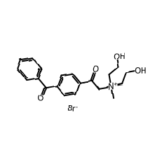 C[N+](CCO)(CCO)CC(=O)c1ccc(C(=O)c2ccccc2)cc1.[Br-]